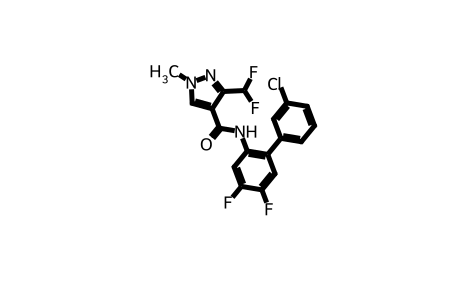 Cn1cc(C(=O)Nc2cc(F)c(F)cc2-c2cccc(Cl)c2)c(C(F)F)n1